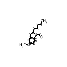 CCCCCC1Cc2cc(OC)ccc2N1C=O